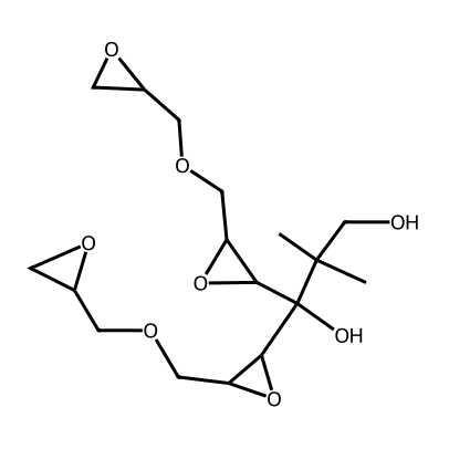 CC(C)(CO)C(O)(C1OC1COCC1CO1)C1OC1COCC1CO1